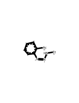 CCN/N=N\c1ccccc1C(C)=O